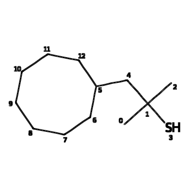 CC(C)(S)CC1CCCCCCC1